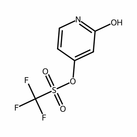 O=S(=O)(Oc1ccnc(O)c1)C(F)(F)F